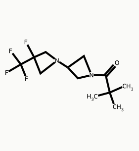 CC(C)(C)C(=O)N1CC(N2CC(F)(C(F)(F)F)C2)C1